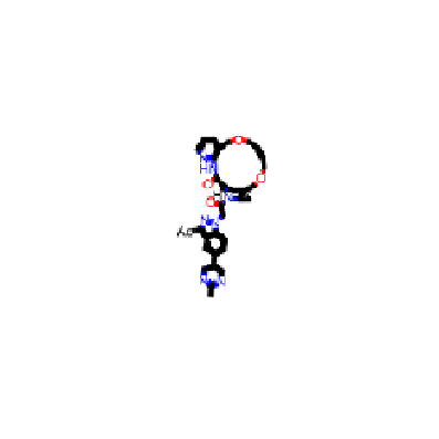 CC(=O)c1nn(CC(=O)N2C3C[C@@]34COCC=CCOCc3cccnc3NC(=O)[C@@H]2C4)c2ccc(-c3cnc(C)nc3)cc12